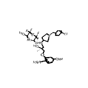 COc1ccc(NC(C)=O)c(OC[C@@](C)(O)CNC2CCN(Cc3ccc(Cl)cc3)CC2)c1.O=C(O)C(F)(F)F.O=C(O)C(F)(F)F